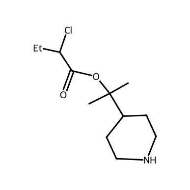 CCC(Cl)C(=O)OC(C)(C)C1CCNCC1